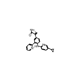 C=C(C(N)=O)c1ccc(Nc2ccc(C3CC3)cn2)c(-c2ccccn2)c1